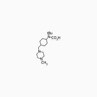 CN1CCN(CC2CCC(N(C(=O)O)C(C)(C)C)CC2)CC1